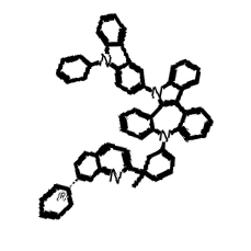 CC1(c2ccc3ccc([C@H]4C=CC=CC4)cc3n2)C=CC=C(N2c3ccccc3-c3c(n(-c4ccc5c(c4)c4ccccc4n5C4C=CC=CC4)c4ccccc34)-c3ccccc32)C1